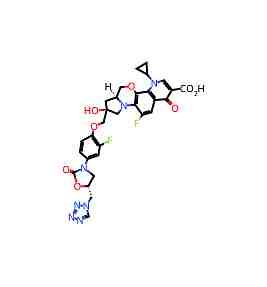 O=C(O)c1cn(C2CC2)c2c3c(c(F)cc2c1=O)N1C[C@](O)(COc2ccc(N4C[C@H](Cn5cnnn5)OC4=O)cc2F)C[C@H]1CO3